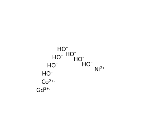 [Co+2].[Gd+3].[Ni+2].[OH-].[OH-].[OH-].[OH-].[OH-].[OH-].[OH-]